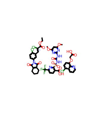 CCOC(=O)/C(Cl)=C/c1cc(N2C(=O)C3=C(CCCC3)C2=O)ccc1Cl.COc1cc(OC)nc(NC(=O)NS(=O)(=O)c2nc(C(F)(F)F)ccc2C(=O)O)n1.O=C(O)COc1ccc(Cl)c2cccnc12